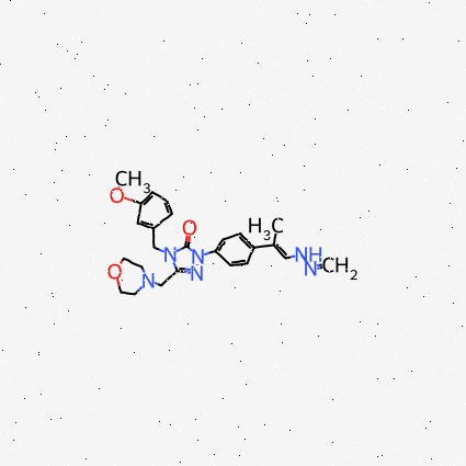 C=NN/C=C(\C)c1ccc(-n2nc(CN3CCOCC3)n(Cc3cccc(OC)c3)c2=O)cc1